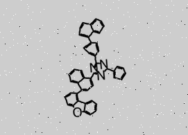 c1ccc(-c2nc(-c3ccc(-c4cccc5ccccc45)cc3)nc(-c3ccc(-c4cccc5oc6ccccc6c45)c4ccccc34)n2)cc1